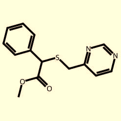 COC(=O)C(SCc1ccncn1)c1ccccc1